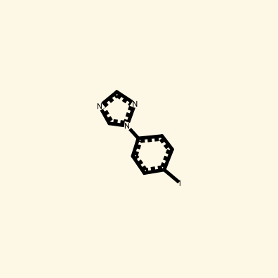 Ic1ccc(-n2cncn2)cc1